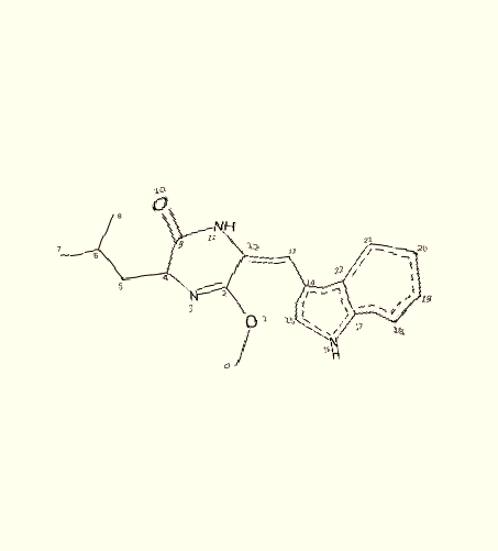 COC1=NC(CC(C)C)C(=O)NC1=Cc1c[nH]c2ccccc12